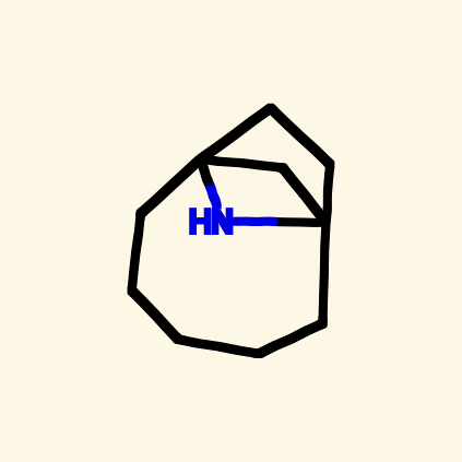 C1CCC23CCC(CC1)(C2)N3